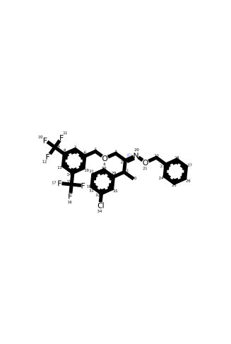 CC(/C(COCc1cc(C(F)(F)F)cc(C(F)(F)F)c1)=N\OCc1ccccc1)c1cccc(Cl)c1